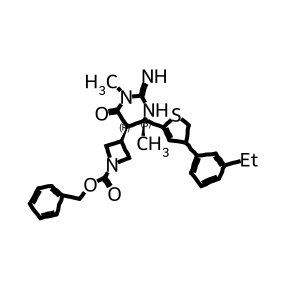 CCc1cccc(C2C=C([C@@]3(C)NC(=N)N(C)C(=O)[C@@H]3C3CN(C(=O)OCc4ccccc4)C3)SC2)c1